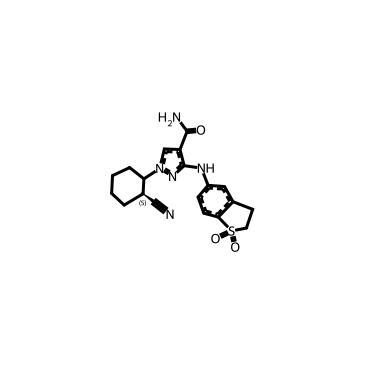 N#C[C@H]1CCCCC1n1cc(C(N)=O)c(Nc2ccc3c(c2)CCS3(=O)=O)n1